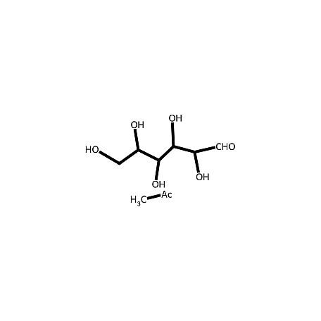 CC(C)=O.O=CC(O)C(O)C(O)C(O)CO